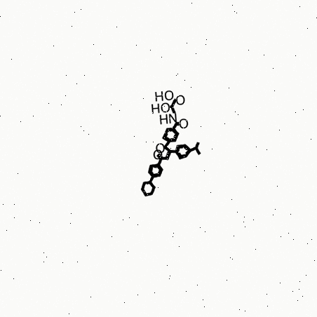 CC(C)c1ccc(/C(=C/C(=O)c2ccc(C3CCCCC3)cc2)C(=O)c2ccc(C(=O)NCC(O)C(=O)O)cc2)cc1